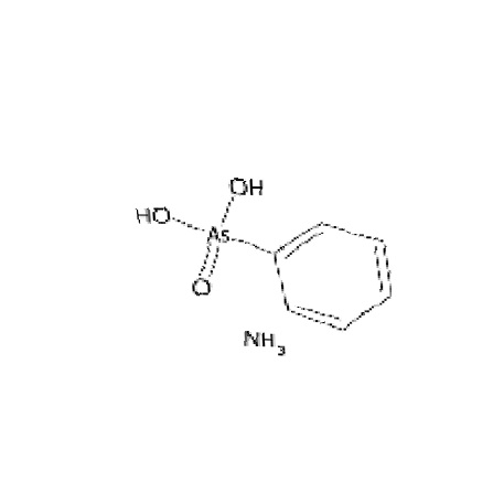 N.O=[As](O)(O)c1ccccc1